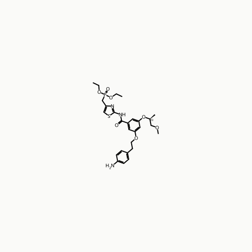 CCOP(=O)(Cc1csc(NC(=O)c2cc(OCCc3ccc(N)cc3)cc(O[C@@H](C)COC)c2)n1)OCC